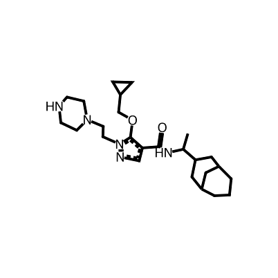 CC(NC(=O)c1cnn(CCN2CCNCC2)c1OCC1CC1)C1CC2CCCC(C2)C1